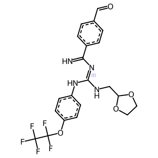 N=C(/N=C(/NCC1OCCO1)Nc1ccc(OC(F)(F)C(F)(F)F)cc1)c1ccc(C=O)cc1